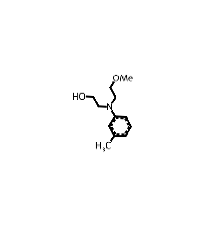 COCCN(CCO)c1cccc(C)c1